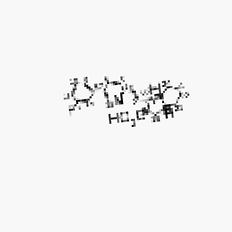 C[C@@]1(C=Cc2ccc(-c3cccc(F)c3)cn2)[C@@H](C(=O)O)C[C@H]2CCCC[C@H]21